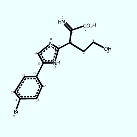 N=C(C(=O)O)C(CCO)c1ncc(-c2ccc(Br)cc2)[nH]1